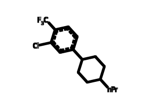 CCCC1CCC(c2ccc(C(F)(F)F)c(Cl)c2)CC1